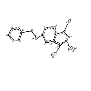 O=C(O)c1nc(Cl)c2ccc(OCc3ccccc3)cc2c1O